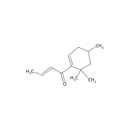 CC=CC(=O)C1=CCC(C)CC1(C)C